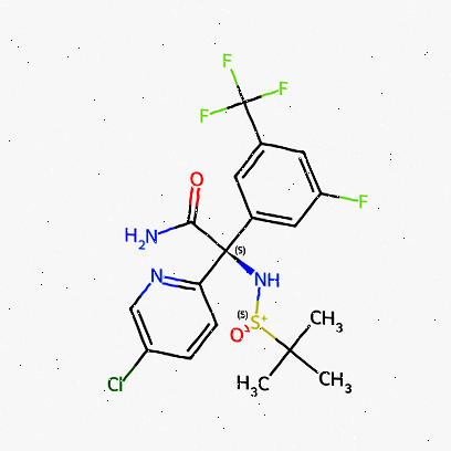 CC(C)(C)[S@@+]([O-])N[C@@](C(N)=O)(c1cc(F)cc(C(F)(F)F)c1)c1ccc(Cl)cn1